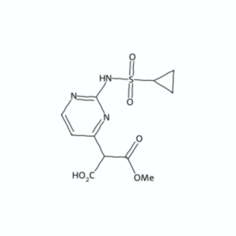 COC(=O)C(C(=O)O)c1ccnc(NS(=O)(=O)C2CC2)n1